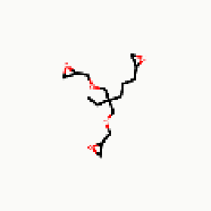 CCC(CCCC1CO1)(COCC1CO1)COCC1CO1